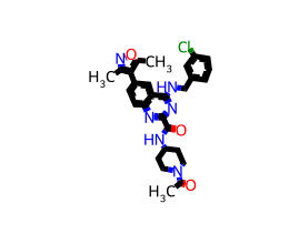 CC(=O)N1CCC(NC(=O)c2nc(NCc3cccc(Cl)c3)c3cc(-c4c(C)noc4C)ccc3n2)CC1